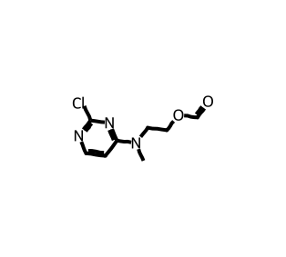 CN(CCOC=O)c1ccnc(Cl)n1